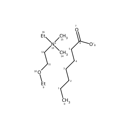 CCCCCCC(=O)[O-].CCOCC[N+](C)(C)CC